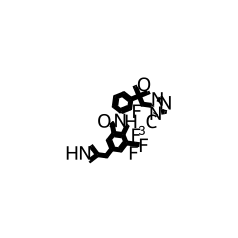 Cn1cnnc1[C@H](F)C1(c2cccc(N3Cc4c(cc(CC5CNC5)cc4C(F)(F)F)C3=O)c2)COC1